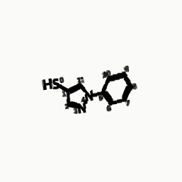 Sc1cnn(-c2ccccc2)c1